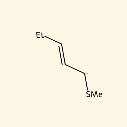 CCC=C[CH]SC